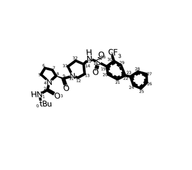 CC(C)(C)NC(=O)N1CCC[C@H]1C(=O)N1CCC(NS(=O)(=O)c2ccc(-c3ccccc3)cc2C(F)(F)F)CC1